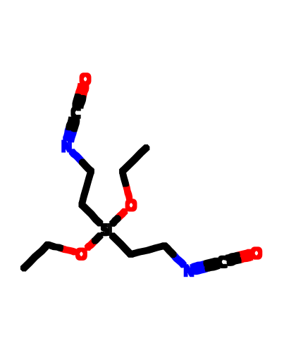 CCO[Si](CCN=C=O)(CCN=C=O)OCC